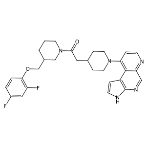 O=C(CC1CCN(c2ccnc3cnc4[nH]ccc4c23)CC1)N1CCCC(COc2ccc(F)cc2F)C1